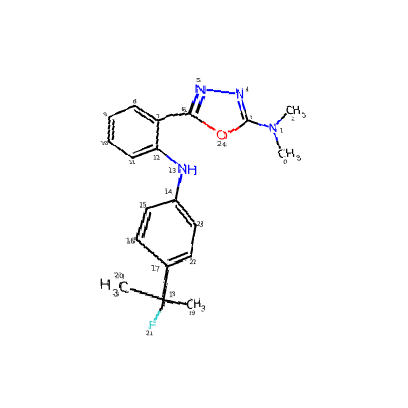 CN(C)c1nnc(-c2ccccc2Nc2ccc(C(C)(C)F)cc2)o1